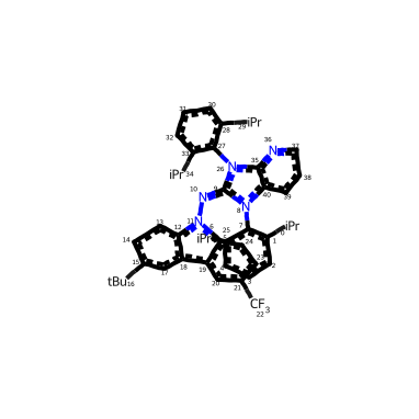 CC(C)c1cccc(C(C)C)c1-n1/c(=N\n2c3ccc(C(C)(C)C)cc3c3cc(C(F)(F)F)ccc32)n(-c2c(C(C)C)cccc2C(C)C)c2ncccc21